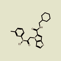 CCN(C(=O)Cn1c(C(=O)NCC2CCCCC2)cc2sccc21)c1cccc(C)c1